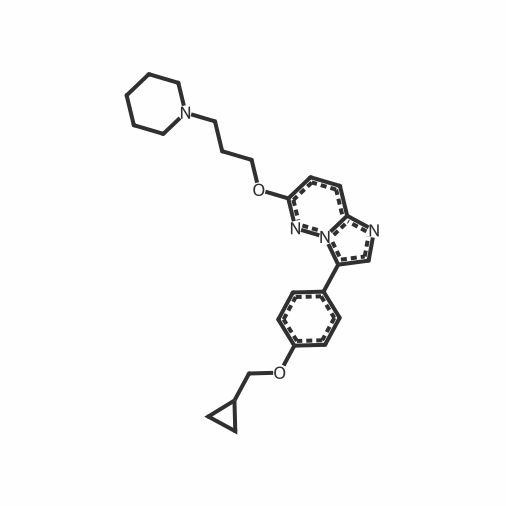 c1cc(-c2cnc3ccc(OCCCN4CCCCC4)nn23)ccc1OCC1CC1